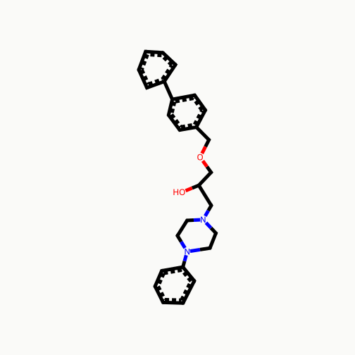 OC(COCc1ccc(-c2ccccc2)cc1)CN1CCN(c2ccccc2)CC1